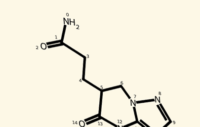 NC(=O)CCC1Cn2ncnc2NC1=O